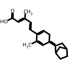 CC(C=CC1=CCC(=C2CC3CCC2C3)C=C1C)=CC(=O)O